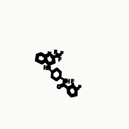 O=C(N[C@H]1CC[C@@H](Nc2cc(C(F)(F)F)nc3ccccc23)CC1)c1cccc(F)c1F